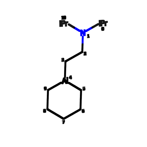 CC(C)N(C[CH2][Al]1[CH2]CCC[CH2]1)C(C)C